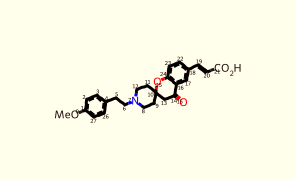 COc1ccc(CCN2CCC3(CC2)CC(=O)c2cc(C=CC(=O)O)ccc2O3)cc1